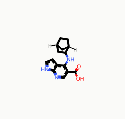 O=C(O)c1cnc2[nH]ccc2c1NC1C[C@@H]2CC[C@H]1C2